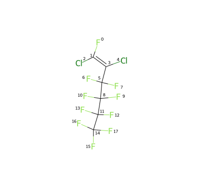 FC(Cl)=C(Cl)C(F)(F)C(F)(F)C(F)(F)C(F)(F)F